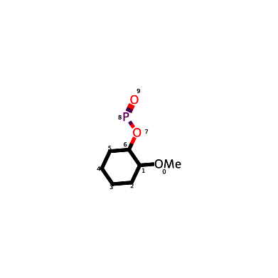 COC1CCCCC1OP=O